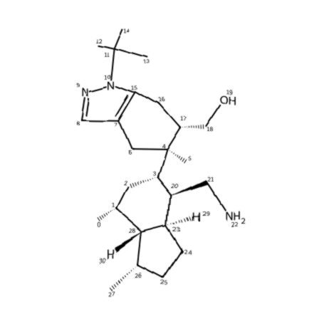 C[C@@H]1C[C@H]([C@@]2(C)Cc3cnn(C(C)(C)C)c3C[C@@H]2CO)[C@@H](CN)[C@H]2CC[C@H](C)[C@@H]21